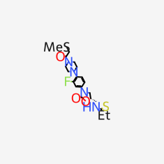 CCC(=S)NC[C@H]1CN(c2ccc(N3CCN(C(=O)CSC)CC3)c(F)c2)C(=O)O1